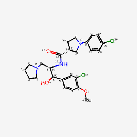 CC(C)(C)Oc1ccc([C@@H](O)[C@@H](CN2CCCC2)NC(=O)[C@@H]2CCN(c3ccc(Cl)cc3)C2)cc1Cl